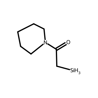 O=C(C[SiH3])N1CCCCC1